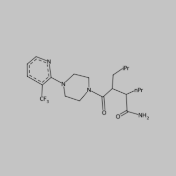 CCCC(C(N)=O)C(CC(C)C)C(=O)N1CCN(c2ncccc2C(F)(F)F)CC1